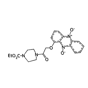 CCOC(=O)N1CCN(C(=O)COc2cccc3c2[n+]([O-])c2ccccc2[n+]3[O-])CC1